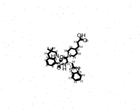 CC1(C)CNc2c(cccc2S(=O)(=O)N[C@@H](Cc2nc3ccccc3s2)C(=O)N2CCC(CCC(=O)O)CC2)C1